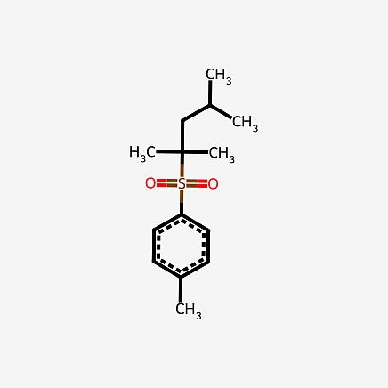 Cc1ccc(S(=O)(=O)C(C)(C)CC(C)C)cc1